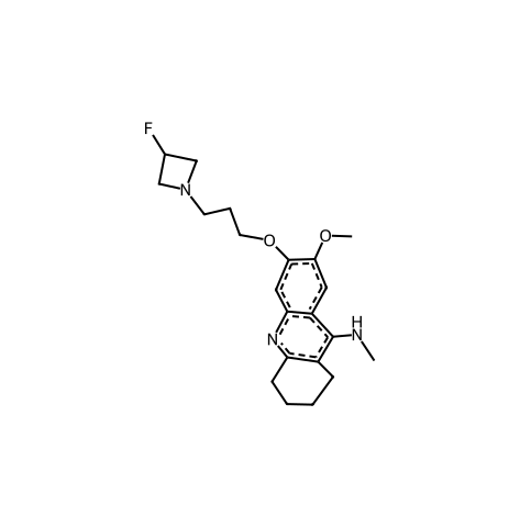 CNc1c2c(nc3cc(OCCCN4CC(F)C4)c(OC)cc13)CCCC2